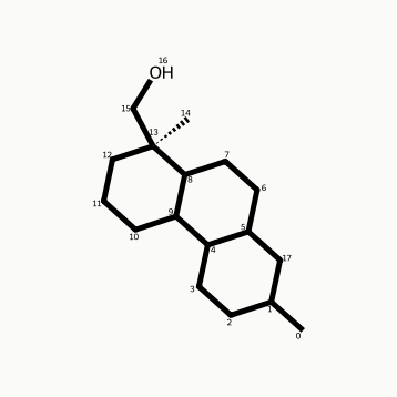 CC1CCC2C(CCC3C2CCC[C@@]3(C)CO)C1